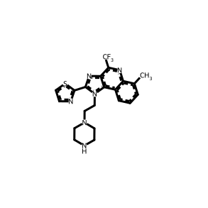 Cc1cccc2c1nc(C(F)(F)F)c1nc(-c3nccs3)n(CCN3CCNCC3)c12